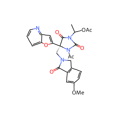 COc1ccc2c(c1)C(=O)N(C[C@]1(c3cc4ncccc4o3)C(=O)N(C(C)OC(C)=O)C(=O)N1C(C)=O)C2